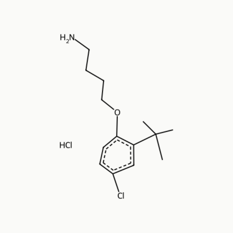 CC(C)(C)c1cc(Cl)ccc1OCCCCN.Cl